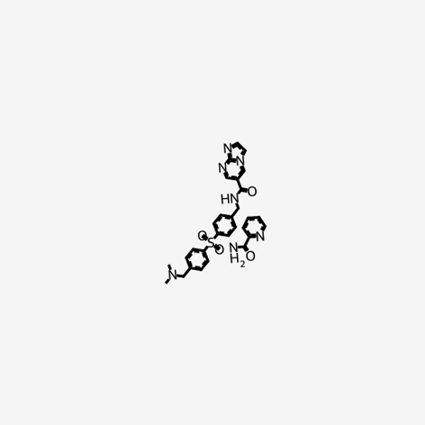 CN(C)Cc1ccc(S(=O)(=O)c2ccc(CNC(=O)c3cnc4nccn4c3)cc2)cc1.NC(=O)c1ccccn1